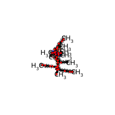 CC#Cc1cc(CCCCCCCCCCCC)c(C#Cc2sc(-c3ccc(C4=C5C(=O)N(CC(C)CCC)C(c6ccc(-c7cc(CCCCCCC)c(C)s7)s6)=C5C(=O)N4CC(C)CCC)s3)cc2CCCCCCC)cc1CCCCCCCCCCCC